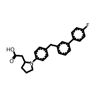 O=C(O)CC1CCCN1c1ccc(Cc2cccc(-c3ccc(F)cc3)c2)cc1